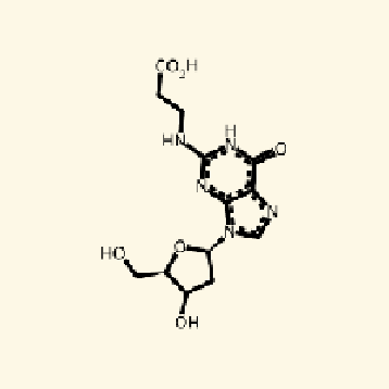 O=C(O)CCNc1nc2c(ncn2[C@H]2CC(O)[C@@H](CO)O2)c(=O)[nH]1